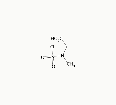 CN(CC(=O)O)S(=O)(=O)Cl